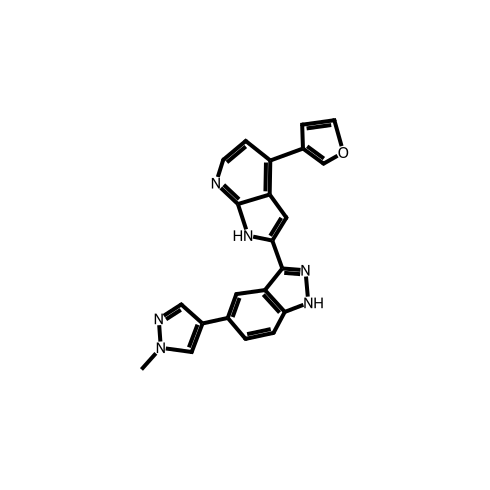 Cn1cc(-c2ccc3[nH]nc(-c4cc5c(-c6ccoc6)ccnc5[nH]4)c3c2)cn1